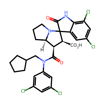 O=C(O)[C@H]1[C@@H](C(=O)N(CC2CCCC2)c2cc(Cl)cc(Cl)c2)[C@H]2CCCN2C12C(=O)Nc1c(Cl)cc(Cl)cc12